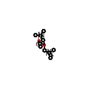 c1ccc(-c2nc(-c3ccccc3)nc(-c3ccc4c(c3)C3(c5ccccc5Oc5ccccc53)c3cc(-c5cccc(-c6nc(-c7ccccc7)c7sc8ccccc8c7n6)c5)ccc3-4)n2)cc1